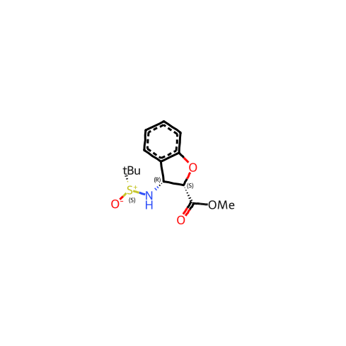 COC(=O)[C@H]1Oc2ccccc2[C@H]1N[S@+]([O-])C(C)(C)C